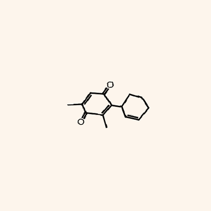 CC1=CC(=O)C(C2C=CCCC2)=C(C)C1=O